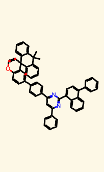 CC1(C)c2ccccc2C2(c3ccccc3Oc3ccc(-c4ccc(-c5cc(-c6ccccc6)nc(-c6ccc(-c7ccccc7)c7ccccc67)n5)cc4)cc32)c2ccccc21